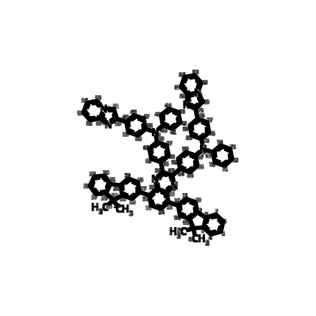 CC1(C)c2ccccc2-c2ccc(-c3ccc(-c4ccc5c(c4)C(C)(C)c4ccccc4-5)c4nc(-c5ccc(N(c6ccccc6)c6ccc(-c7cn8ccccc8n7)cc6)cc5)c(-c5ccc(N(c6ccccc6)c6ccc(-c7cn8ccccc8n7)cc6)cc5)nc34)cc21